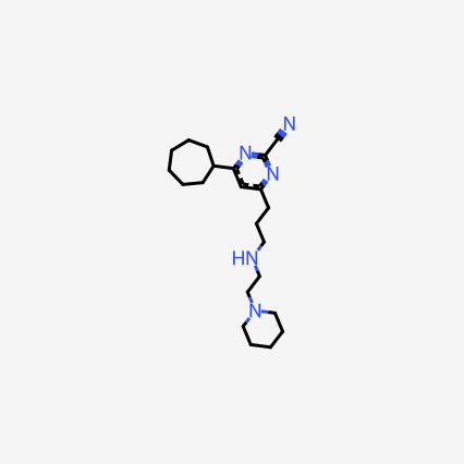 N#Cc1nc(CCCNCCN2CCCCC2)cc(C2CCCCCC2)n1